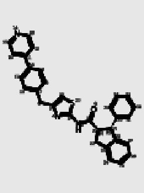 O=C(Nc1nc(Cc2ccc(-c3ccncc3)cc2)cs1)[C@@H]1Cc2ccccc2[C@H]1c1ccccc1